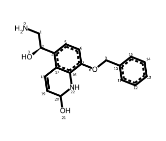 NC[C@H](O)c1ccc(OCc2ccccc2)c2c1C=CC(O)N2